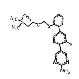 C[Si](C)(C)CCOCSc1ccccc1-c1ccc(-c2cnc(N)nc2)c(F)c1